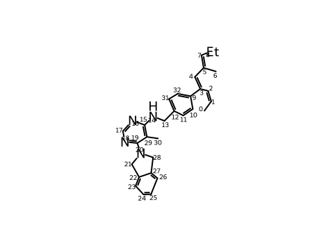 C\C=C/C(=C\C(C)=C\CC)c1ccc(CNc2ncnc(N3Cc4ccccc4C3)c2C)cc1